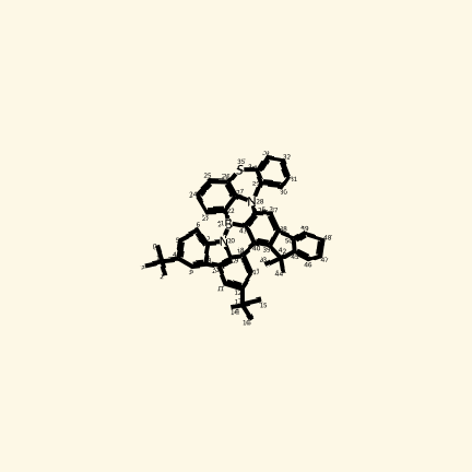 CC(C)(C)c1ccc2c(c1)c1cc(C(C)(C)C)cc3c1n2B1c2cccc4c2N(c2ccccc2S4)c2cc4c(c-3c21)C(C)(C)c1ccccc1-4